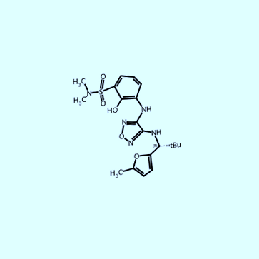 Cc1ccc([C@H](Nc2nonc2Nc2cccc(S(=O)(=O)N(C)C)c2O)C(C)(C)C)o1